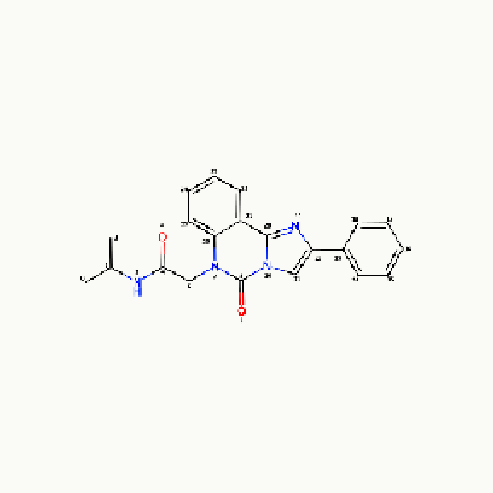 CC(C)NC(=O)Cn1c(=O)n2cc(-c3ccccc3)nc2c2ccccc21